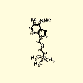 CNc1c(C(C)=O)cnc2c1ccn2COCC[Si](C)(C)C